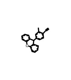 C#Cc1ccc(C2c3ccccc3Oc3ccccc32)cc1C